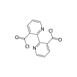 O=C(Cl)c1cccnc1-c1ncccc1C(=O)Cl